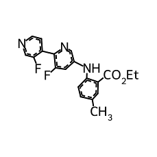 CCOC(=O)c1cc(C)ccc1Nc1cnc(-c2ccncc2F)c(F)c1